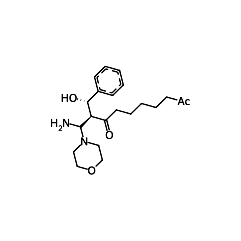 CC(=O)CCCCCC(=O)[C@@H](C(N)N1CCOCC1)[C@H](O)c1ccccc1